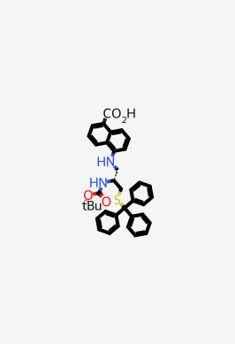 CC(C)(C)OC(=O)N[C@H](CNc1cccc2c(C(=O)O)cccc12)CSC(c1ccccc1)(c1ccccc1)c1ccccc1